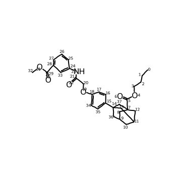 CCCCOC(=O)C12CC3CC(C1)CC(c1ccc(OCC(=O)Nc4cccc(C(=O)OC)c4)cc1)(C3)C2